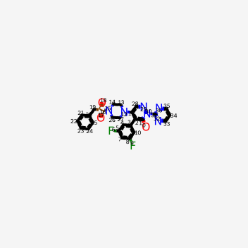 O=c1c(-c2cc(F)cc(F)c2)c(N2CCN(S(=O)(=O)Cc3ccccc3)CC2)cnn1-c1ncccn1